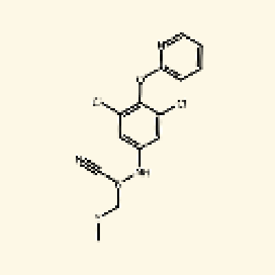 CSCN(C#N)Nc1cc(Cl)c(Oc2ccccn2)c(Cl)c1